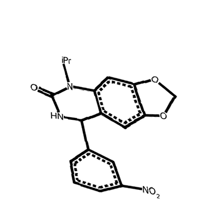 CC(C)N1C(=O)NC(c2cccc([N+](=O)[O-])c2)c2cc3c(cc21)OCO3